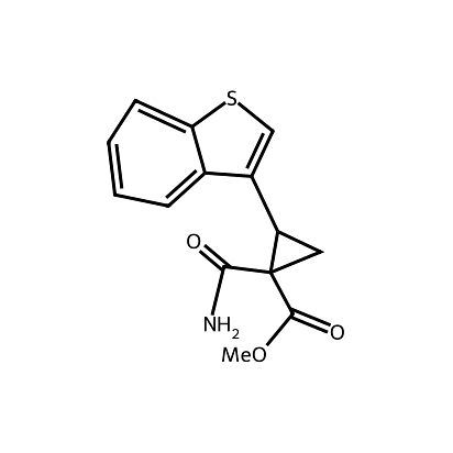 COC(=O)C1(C(N)=O)CC1c1csc2ccccc12